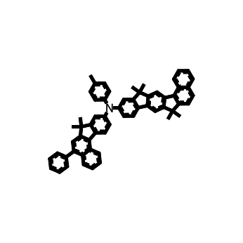 Cc1ccc(N(c2ccc3c(c2)C(C)(C)c2cc4c(cc2-3)C(C)(C)c2ccc3ccccc3c2-4)c2ccc3c(c2)C(C)(C)c2cc(-c4ccccc4)c4ccccc4c2-3)cc1